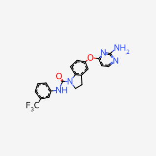 Nc1nccc(Oc2ccc3c(c2)CCN3C(=O)Nc2cccc(C(F)(F)F)c2)n1